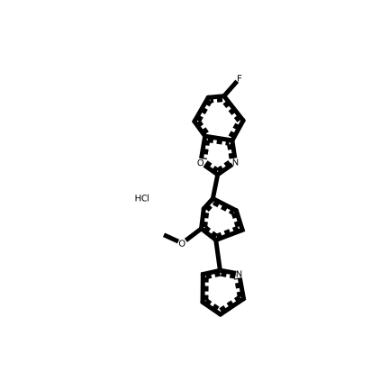 COc1cc(-c2nc3cc(F)ccc3o2)ccc1-c1ccccn1.Cl